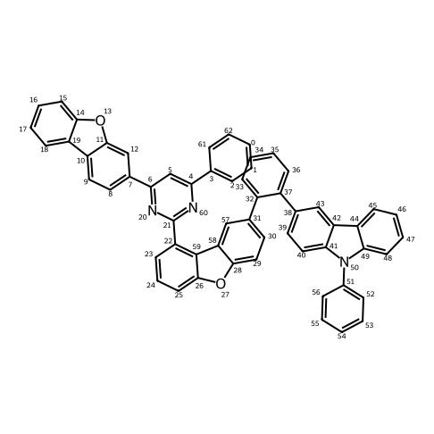 c1ccc(-c2cc(-c3ccc4c(c3)oc3ccccc34)nc(-c3cccc4oc5ccc(-c6ccccc6-c6ccc7c(c6)c6ccccc6n7-c6ccccc6)cc5c34)n2)cc1